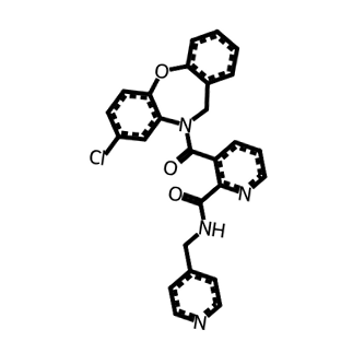 O=C(NCc1ccncc1)c1ncccc1C(=O)N1Cc2ccccc2Oc2ccc(Cl)cc21